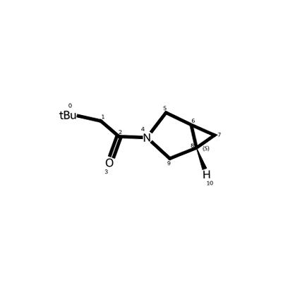 CC(C)(C)CC(=O)N1CC2C[C@@H]2C1